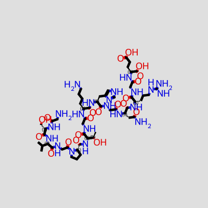 CC(C)[C@H](NC(=O)[C@H](CO)NC(=O)CN)C(=O)NCC(=O)N1CCC[C@H]1C(=O)N[C@H](C(=O)NCC(=O)N[C@@H](CCCCN)C(=O)N[C@@H](Cc1c[nH]cn1)C(=O)NCC(=O)N[C@@H](CC(N)=O)C(=O)N[C@@H](CCCNC(=N)N)C(=O)NCC(=O)N[C@@H](CCC(=O)O)C(=O)O)[C@@H](C)O